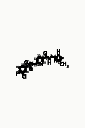 Cc1c[nH]c(CNC(=O)c2ccc(CNS(=O)(=O)c3ccc(F)c(Cl)c3)nc2)n1